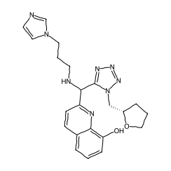 Oc1cccc2ccc(C(NCCCn3ccnc3)c3nnnn3C[C@@H]3CCCO3)nc12